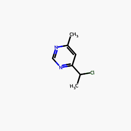 Cc1cc(C(C)Cl)ncn1